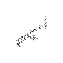 CCCCC/C=C\C/C=C\CCCCCCCCC(CCO[Si](C)(C)C(C)(C)C)OC(=O)Oc1ccc([N+](=O)[O-])cc1